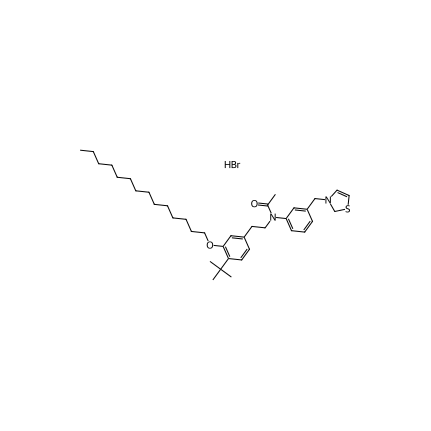 Br.CCCCCCCCCCCCCCOc1cc(CCN(C(C)=O)c2cccc(CN3C=CSC3)c2)ccc1C(C)(C)C